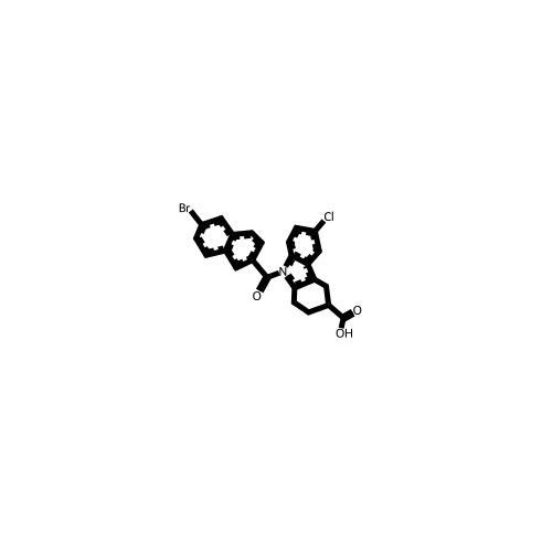 O=C(O)C1CCc2c(c3cc(Cl)ccc3n2C(=O)c2ccc3cc(Br)ccc3c2)C1